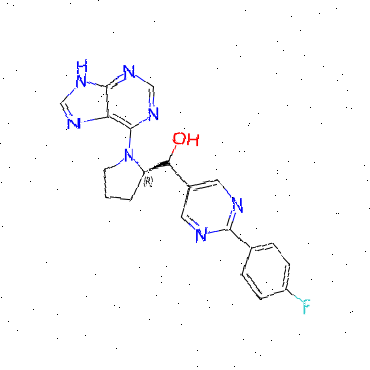 OC(c1cnc(-c2ccc(F)cc2)nc1)[C@H]1CCCN1c1ncnc2[nH]cnc12